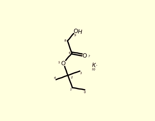 CCC(C)(C)OC(=O)CO.[K]